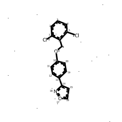 Clc1cccc(Cl)c1COc1ccc(-c2ccon2)cc1